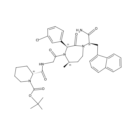 C[C@@H]1CCN([C@H](Cc2cccc3ccccc23)C(N)=O)C(=O)[C@H](c2cccc(Cl)c2)N1C(=O)CNC(=O)[C@H]1CCCCN1C(=O)OC(C)(C)C